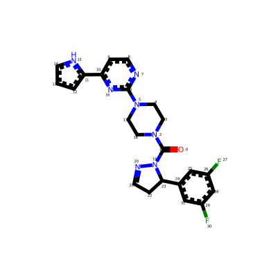 O=C(N1CCN(c2nccc(-c3ccc[nH]3)n2)CC1)N1N=CCC1c1cc(F)cc(F)c1